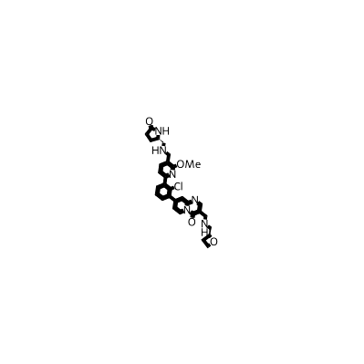 COc1nc(-c2cccc(-c3ccn4c(=O)c(CNC[C@@H]5CCO5)cnc4c3)c2Cl)ccc1CNC[C@@H]1CCC(=O)N1